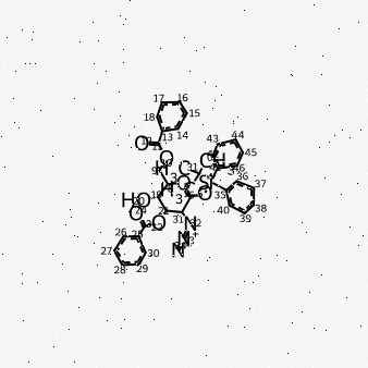 CC(C)(C)[Si](O[C@@H]1OC(COC(=O)c2ccccc2)[C@@H](O)[C@H](OC(=O)c2ccccc2)C1N=[N+]=[N-])(c1ccccc1)c1ccccc1